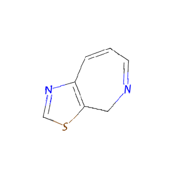 C1=Cc2ncsc2CN=C1